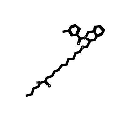 CCCCNC(=O)CCCCCCCCCCOCC1Cc2ccccc2CN1C(=O)c1cccc(C)c1